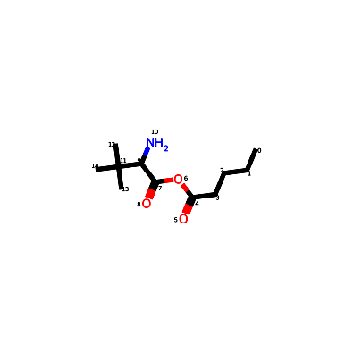 CCCCC(=O)OC(=O)C(N)C(C)(C)C